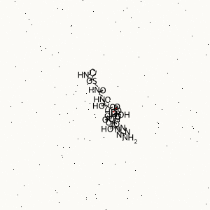 CNc1ccccc1C(=O)SCCNC(=O)CCNC(=O)[C@H](O)C(C)(C)COP(=O)(O)OP(=O)(O)OC[C@H]1O[C@@H](n2cnc3c(N)ncnc32)[C@H](O)[C@@H]1OP(=O)(O)O